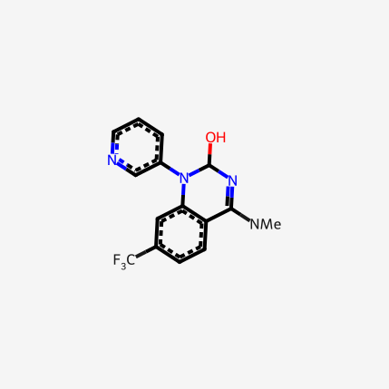 CNC1=NC(O)N(c2cccnc2)c2cc(C(F)(F)F)ccc21